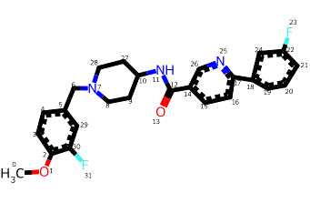 COc1ccc(CN2CCC(NC(=O)c3ccc(-c4cccc(F)c4)nc3)CC2)cc1F